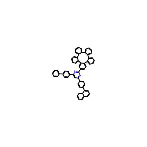 c1ccc(-c2ccc(-c3cc(-c4ccc(-c5cccc6ccccc56)cc4)nc(-c4ccc5c6ccccc6c6ccccc6c6ccccc6c6ccccc6c5c4)n3)cc2)cc1